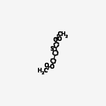 C=CC(=O)Oc1ccc(-c2ccc3c(c2)sc2cc(OC(=O)C=C)ccc23)cc1